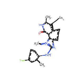 Cc1cc(F)ccc1Nc1nc2ccc3c(C)c(C)[nH]c(=O)c3c2n1C